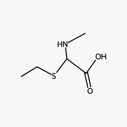 CCSC(NC)C(=O)O